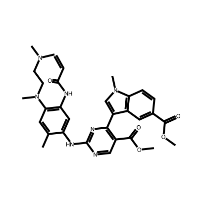 C=CC(=O)Nc1cc(Nc2ncc(C(=O)OC)c(-c3cn(C)c4ccc(C(=O)OC)cc34)n2)c(C)cc1N(C)CCN(C)C